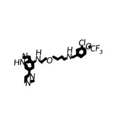 FC(F)(F)Oc1ccc(CNCCCCOCCNc2cc(-c3ccncn3)cc3[nH]ncc23)cc1Cl